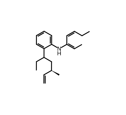 C=C[C@H](C)CC(CC)c1ccccc1NC(/C=C\CC)=C/C